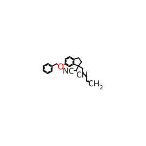 C=CCCCC1(C(C#N)C#N)CCc2ccc(OCc3ccccc3)cc21